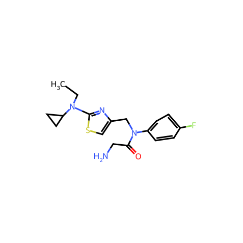 CCN(c1nc(CN(C(=O)CN)c2ccc(F)cc2)cs1)C1CC1